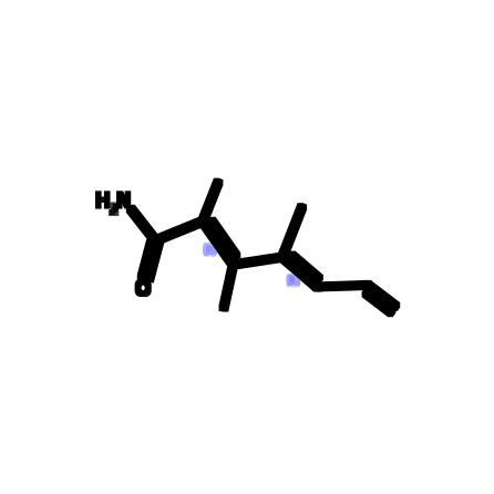 C=C/C=C(C)/C(C)=C(\C)C(N)=O